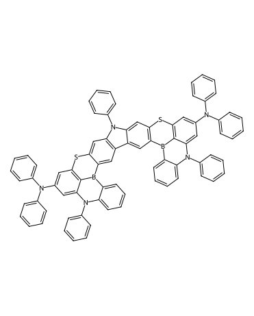 c1ccc(N(c2ccccc2)c2cc3c4c(c2)N(c2ccccc2)c2ccccc2B4c2cc4c5cc6c(cc5n(-c5ccccc5)c4cc2S3)Sc2cc(N(c3ccccc3)c3ccccc3)cc3c2B6c2ccccc2N3c2ccccc2)cc1